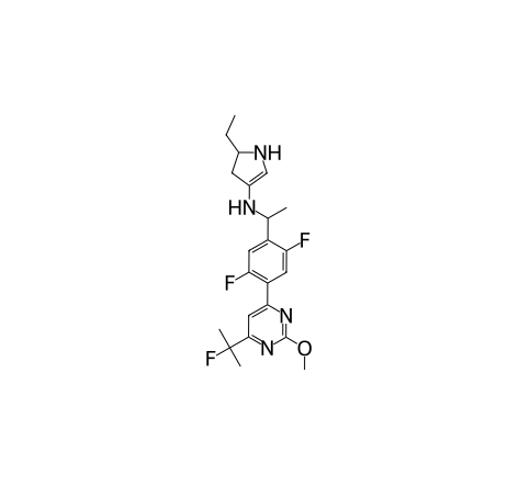 CCC1CC(NC(C)c2cc(F)c(-c3cc(C(C)(C)F)nc(OC)n3)cc2F)=CN1